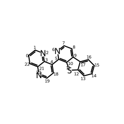 c1cnc2c(-c3nccc4c3sc3ccccc34)ccnc2c1